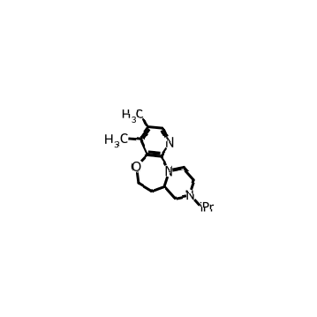 Cc1cnc2c(c1C)OCCC1CN(C(C)C)CCN21